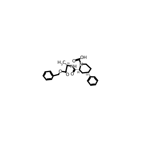 C[C@H](NC(=O)[C@H]1C[C@@H](c2ccccc2)CCN1C(=O)O)C(=O)OCc1ccccc1